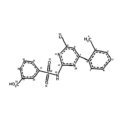 Cc1ccccc1-c1cc(Cl)nc(NS(=O)(=O)c2cccc(C(=O)O)c2)n1